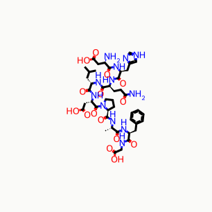 CC(C)C[C@H](NC(=O)[C@H](CCC(N)=O)NC(=O)[C@H](Cc1c[nH]cn1)NC(=O)[C@@H](N)CC(=O)O)C(=O)N[C@@H](CC(=O)O)C(=O)N1CCC[C@H]1C(=O)N[C@@H](C)C(=O)N[C@@H](Cc1ccccc1)C(=O)NCC(=O)O